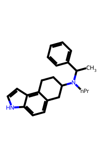 CCCN(C1CCc2c(ccc3[nH]ccc23)C1)C(C)c1ccccc1